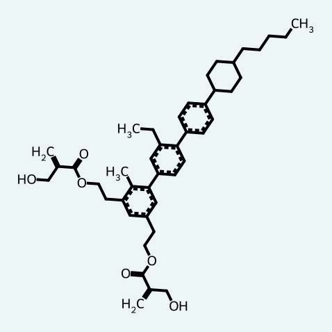 C=C(CO)C(=O)OCCc1cc(CCOC(=O)C(=C)CO)c(C)c(-c2ccc(-c3ccc(C4CCC(CCCCC)CC4)cc3)c(CC)c2)c1